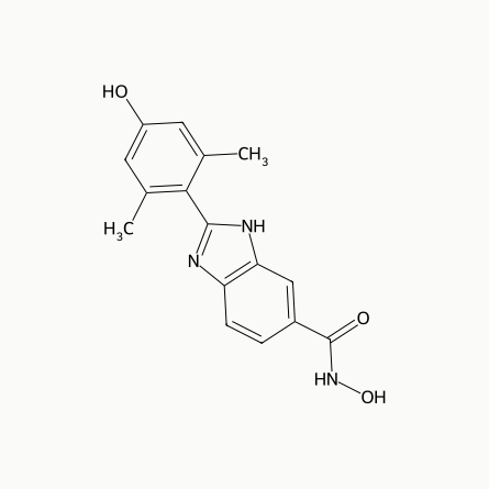 Cc1cc(O)cc(C)c1-c1nc2ccc(C(=O)NO)cc2[nH]1